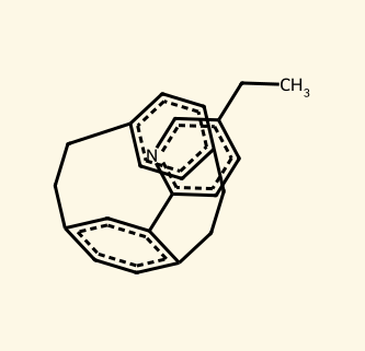 CCc1ccc(-c2cc3ccc2CCc2ccc(cc2)CC3)nc1